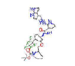 CC(C)(C)OC(=O)N1CCCC1COc1cc(NC(=O)c2cccnc2NCc2ccnc3[nH]ccc23)ccc1C(F)(F)C(F)(F)F